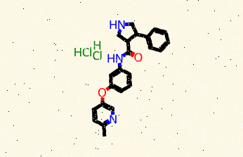 Cc1ccc(Oc2cccc(NC(=O)C3CNCC3c3ccccc3)c2)cn1.Cl.Cl